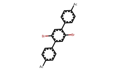 CC(=O)c1ccc(-c2cc(Br)c(-c3ccc(C(C)=O)cc3)cc2Br)cc1